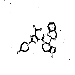 O=C(c1oc(N2CCC(F)CC2)nc1C(F)F)N1CCc2[nH]cnc2[C@@H]1c1ncc2ccccc2n1